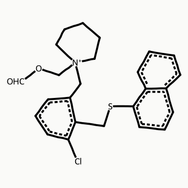 O=COC[N+]1(Cc2cccc(Cl)c2CSc2cccc3ccccc23)CCCCC1